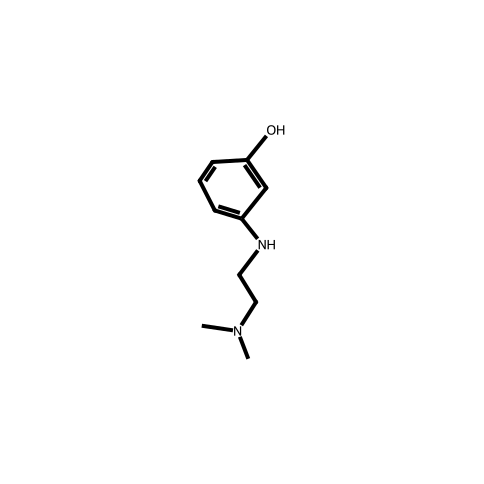 CN(C)CCNc1cccc(O)c1